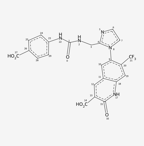 O=C(NCc1nccn1-c1cc2cc(C(=O)O)c(=O)[nH]c2cc1C(F)(F)F)Nc1ccc(C(=O)O)cc1